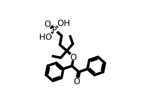 CCC(CC)(CCP(=O)(O)O)OC(C(=O)c1ccccc1)c1ccccc1